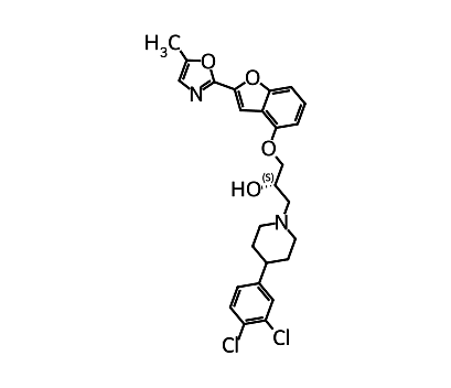 Cc1cnc(-c2cc3c(OC[C@@H](O)CN4CCC(c5ccc(Cl)c(Cl)c5)CC4)cccc3o2)o1